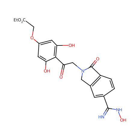 CCOC(=O)COc1cc(O)c(C(=O)CN2Cc3cc(C(=N)NO)ccc3C2=O)c(O)c1